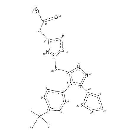 CC(C)(C)c1ccc(-n2c(Sc3nc(CC(=O)O)cs3)nnc2-c2cccs2)cc1